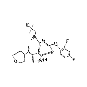 CC(C)(O)CNc1nc(Oc2ccc(F)cc2F)nc2[nH]nc(NC3CCOCC3)c12